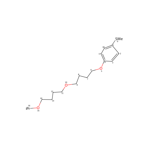 CSc1ccc(OCCCCOCCCCOC(C)C)cc1